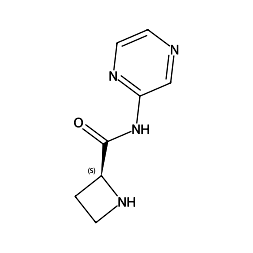 O=C(Nc1cnccn1)[C@@H]1CCN1